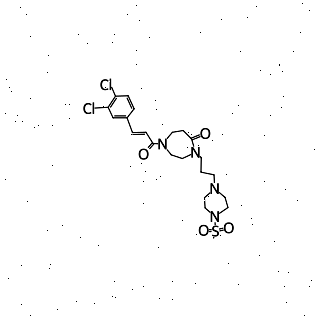 CS(=O)(=O)N1CCN(CCCN2CCN(C(=O)C=Cc3ccc(Cl)c(Cl)c3)CCC2=O)CC1